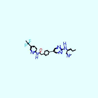 CC/C=C(\C=N/C)Nc1ncc(-c2ccc(CC(=O)Nc3ccc(C(C)(F)F)cn3)cc2)cn1